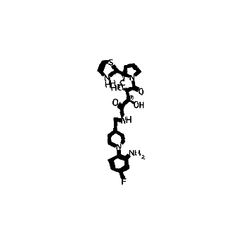 C[C@]1(C2NC=CS2)CCCN1C(=O)[C@H](O)[C@@H](O)C(=O)NCC1CCN(c2ccc(F)cc2N)CC1